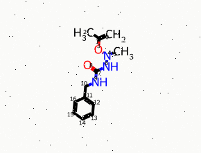 C=C(C)ON(C)NC(=O)NCc1ccccc1